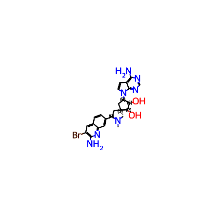 CN1C[C@]2(C[C@@H]1c1ccc3cc(Br)c(N)nc3c1)C[C@@H](n1ccc3c(N)ncnc31)[C@H](O)[C@@H]2O